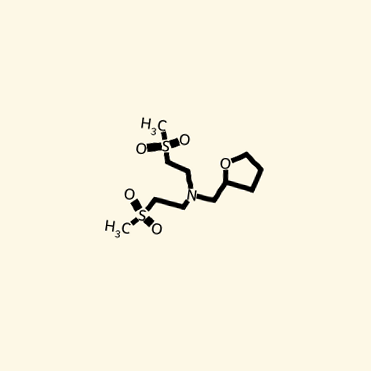 CS(=O)(=O)CCN(CCS(C)(=O)=O)CC1CCCO1